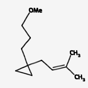 COCCCC1(CC=C(C)C)CC1